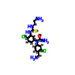 NCCNC(=S)Nc1cc(N(C(N)=O)c2ccc(CN)c(Cl)c2)ccc1Cl